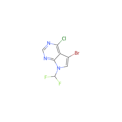 FC(F)n1cc(Br)c2c(Cl)ncnc21